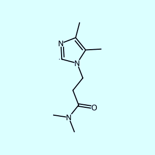 Cc1n[c]n(CCC(=O)N(C)C)c1C